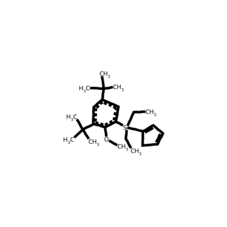 CC[Si](CC)(C1=CC=CC1)c1cc(C(C)(C)C)cc(C(C)(C)C)c1OC